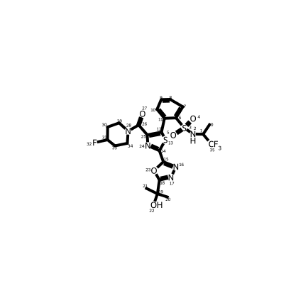 CC(NS(=O)(=O)c1ccccc1-c1sc(-c2nnc(C(C)(C)O)o2)nc1C(=O)N1CCC(F)CC1)C(F)(F)F